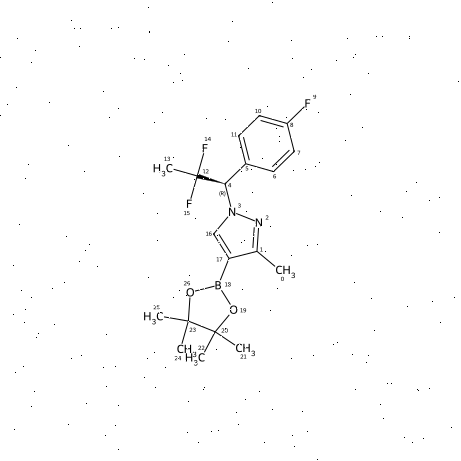 Cc1nn([C@H](c2ccc(F)cc2)C(C)(F)F)cc1B1OC(C)(C)C(C)(C)O1